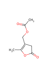 CC(=O)OCC1=C(C)OC(=O)C1